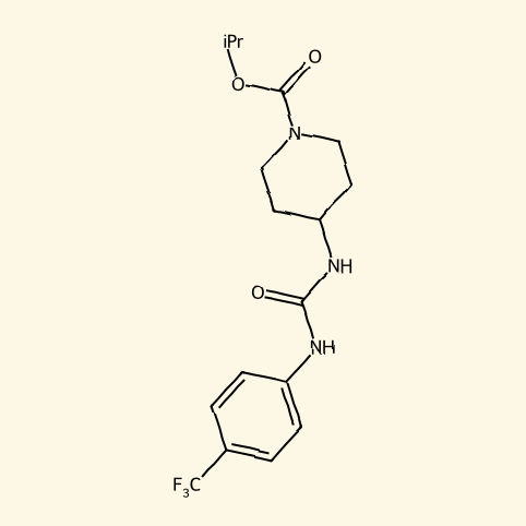 CC(C)OC(=O)N1CCC(NC(=O)Nc2ccc(C(F)(F)F)cc2)CC1